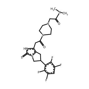 CN(C)C(=O)CN1CCN(C(=O)Cc2[nH]c(=S)n3c2CC(c2c(F)c(F)cc(F)c2F)C3)CC1